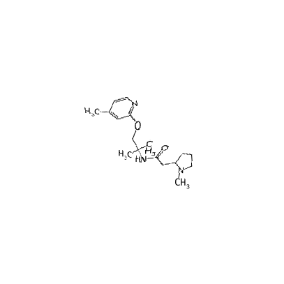 Cc1ccnc(OCC(C)(C)NC(=O)CC2CCCN2C)c1